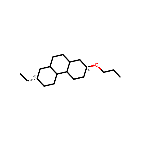 CCCO[C@H]1CCC2C(CCC3C[C@@H](CC)CCC32)C1